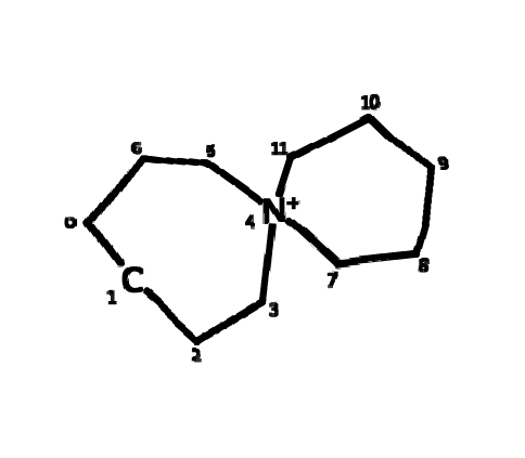 C1CCC[N+]2(CC1)CCCCC2